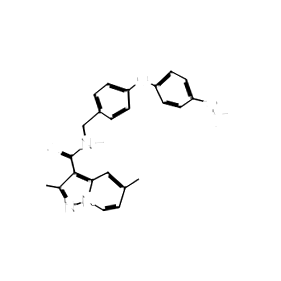 Cc1ccn2nc(C)c(C(=O)NCc3ccc(Oc4ccc(OC(F)(F)F)cc4)cc3)c2c1